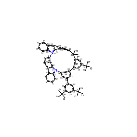 Cc1c2ccc3c4ccccc4n(c13)-c1cc(-c3cc(C(C)(C)C)cc(C(C)(C)C)c3)cc(c1)-c1cc(C(C)(C)C)cc(c1)C(C)(C)c1ccc3c(c1)c1ccccc1n3-2